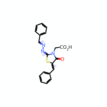 O=C(O)CN1C(=O)/C(=C/c2ccccc2)S/C1=N/N=C/c1ccccc1